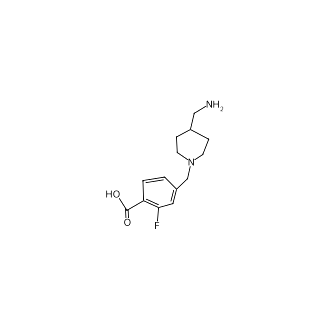 NCC1CCN(Cc2ccc(C(=O)O)c(F)c2)CC1